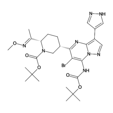 CO/N=C(\C)[C@@H]1CC[C@H](c2nc3c(-c4cn[nH]c4)cnn3c(NC(=O)OC(C)(C)C)c2Br)CN1C(=O)OC(C)(C)C